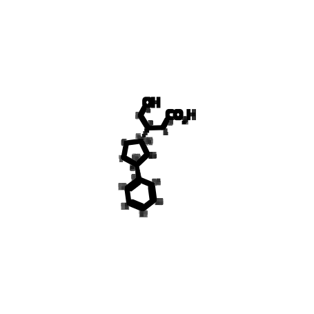 O=C(O)CC(CO)[C@H]1CC[C@H](c2ccccc2)C1